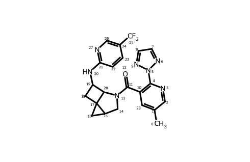 Cc1cnc(-n2nccn2)c(C(=O)N2CC3CC34CC(Nc3ccc(C(F)(F)F)cn3)C24)c1